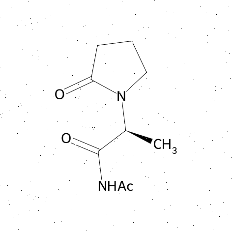 CC(=O)NC(=O)[C@H](C)N1CCCC1=O